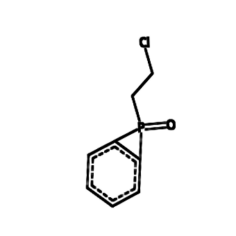 O=P1(CCCl)c2ccccc21